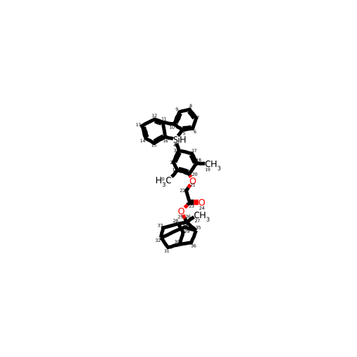 Cc1cc([SiH]2c3ccccc3-c3ccccc32)cc(C)c1OCC(=O)OC1(C)C2CC3CC(C2)CC1C3